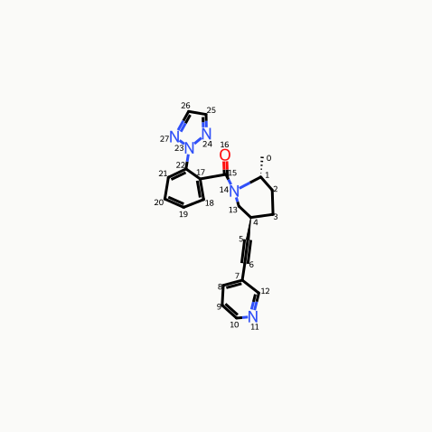 C[C@@H]1CC[C@@H](C#Cc2cccnc2)CN1C(=O)c1ccccc1-n1nccn1